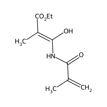 C=C(C)C(=O)NC(O)=C(C)C(=O)OCC